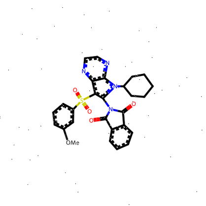 COc1cccc(S(=O)(=O)c2c(N3C(=O)c4ccccc4C3=O)n(C3CCCCC3)c3nccnc23)c1